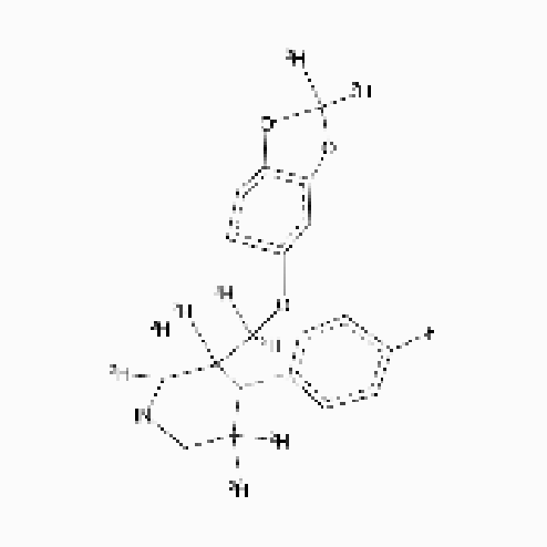 [2H]C1([2H])Oc2ccc(OC([2H])([2H])C3([2H])[C@H](c4ccc(F)cc4)C([2H])([2H])CNC3([2H])[2H])cc2O1